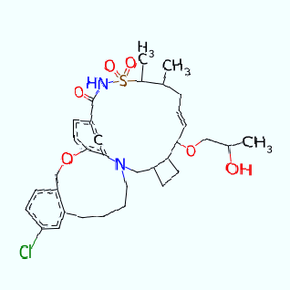 CC(O)COC1/C=C/CC(C)C(C)S(=O)(=O)NC(=O)c2ccc3c(c2)N(CCCCc2cc(Cl)ccc2CO3)CC2CCC21